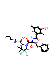 CCCCNC(=O)[C@H]1N(C(=O)[C@@](O)(CCc2ccccc2)NC(=O)c2cc(C)cc(O)c2C)CC(F)(F)C1(C)C